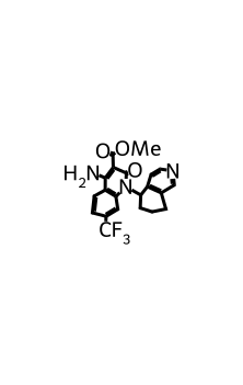 COC(=O)c1c(N)c2ccc(C(F)(F)F)cc2n(C2CCCc3cnccc32)c1=O